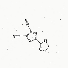 N#Cc1cc(C2OCCO2)sc1C#N